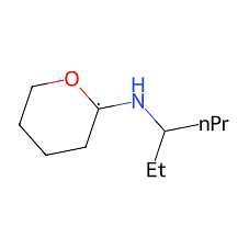 CCCC(CC)N[C]1CCCCO1